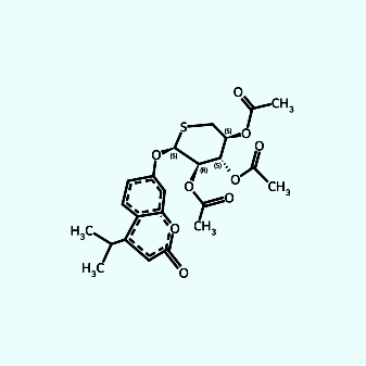 CC(=O)O[C@@H]1[C@@H](OC(C)=O)[C@@H](Oc2ccc3c(C(C)C)cc(=O)oc3c2)SC[C@H]1OC(C)=O